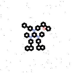 c1ccc(-c2ccc(N(c3ccc(-c4cccc5c4oc4ccccc45)cc3)c3cc(N(c4ccccc4)c4ccc(-c5cccc6ccccc56)cc4)cc(N(c4ccccc4)c4ccc(-c5cccc6ccccc56)cc4)c3)cc2)cc1